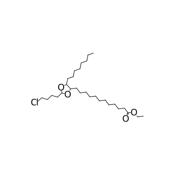 CCCCCCCCC1OC(CCCCCl)OC1CCCCCCCCCCCC(=O)OCC